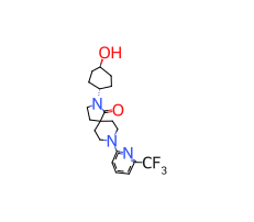 O=C1N([C@H]2CC[C@H](O)CC2)CCC12CCN(c1cccc(C(F)(F)F)n1)CC2